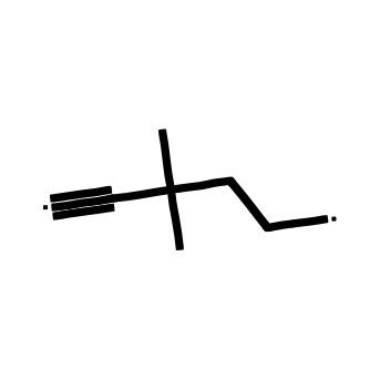 [C]#CC(C)(C)CC[CH2]